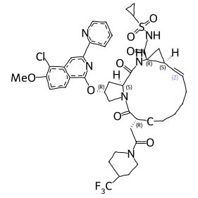 COc1ccc2c(O[C@@H]3C[C@H]4C(=O)N[C@]5(C(=O)NS(=O)(=O)C6CC6)C[C@H]5/C=C\CCCCC[C@H](CC(=O)N5CCC(C(F)(F)F)CC5)C(=O)N4C3)nc(-c3ccccn3)cc2c1Cl